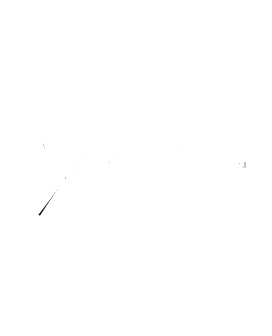 CCC(CCC12CCCC(C)(CCC1)CC[C@@H](C)CC2)OC(C)N